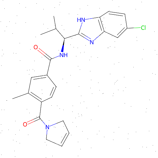 Cc1cc(C(=O)N[C@H](c2nc3cc(Cl)ccc3[nH]2)C(C)C)ccc1C(=O)N1CC=CC1